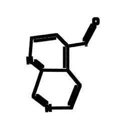 O=[C]c1ccnc2cnccc12